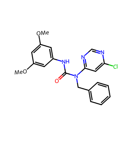 COc1cc(NC(=O)N(Cc2ccccc2)c2cc(Cl)ncn2)cc(OC)c1